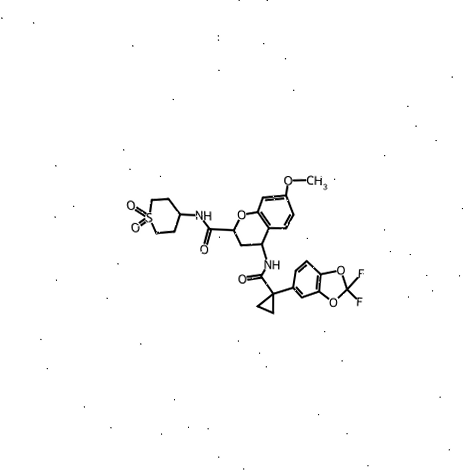 COc1ccc2c(c1)OC(C(=O)NC1CCS(=O)(=O)CC1)CC2NC(=O)C1(c2ccc3c(c2)OC(F)(F)O3)CC1